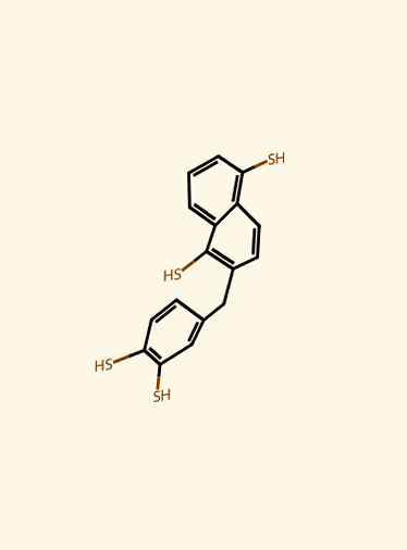 Sc1ccc(Cc2ccc3c(S)cccc3c2S)cc1S